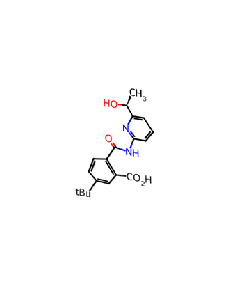 C[C@H](O)c1cccc(NC(=O)c2ccc(C(C)(C)C)cc2C(=O)O)n1